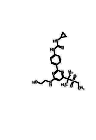 CCS(=O)(=O)C(C)(C)c1cc(NCCO)nc(-c2ccc(NC(=O)NC3CC3)cc2)n1